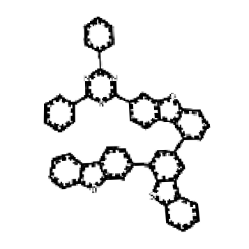 c1ccc(-c2nc(-c3ccccc3)nc(-c3ccc4c(c3)oc3cccc(-c5cc(-c6ccc7c(c6)oc6ccccc67)c6sc7ccccc7c6c5)c34)n2)cc1